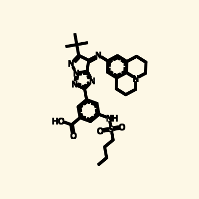 CCCCS(=O)(=O)Nc1cc(C(=O)O)cc(-c2nc3n(n2)N=C(C(C)(C)C)/C3=N/c2cc3c4c(c2)CCCN4CCC3)c1